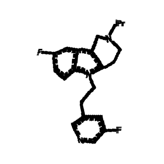 CC(C)N1CCc2c(c3cc(F)ccc3n2CCc2cncc(F)c2)C1